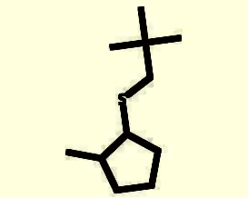 CC1CCCC1SCC(C)(C)C